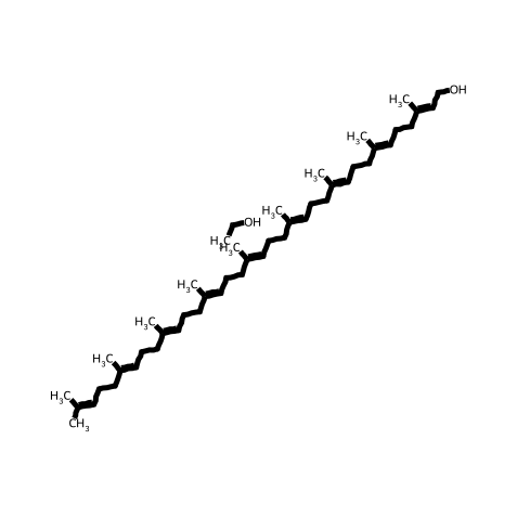 CC(C)=CCC/C(C)=C/CC/C(C)=C/CC/C(C)=C/CC/C(C)=C/CC/C(C)=C/CC/C(C)=C/CC/C(C)=C/CC/C(C)=C/CO.CCO